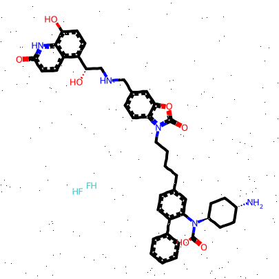 F.F.N[C@H]1CC[C@H](N(C(=O)O)c2cc(CCCCn3c(=O)oc4cc(CNC[C@H](O)c5ccc(O)c6[nH]c(=O)ccc56)ccc43)ccc2-c2ccccc2)CC1